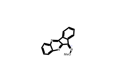 CO/N=C1/c2ccccc2-c2nc3ccccc3nc21